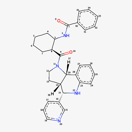 O=C(NC1CCCC[C@@H]1C(=O)N1CC[C@H]2[C@@H](c3cccnc3)Nc3ccccc3[C@H]21)c1ccccc1